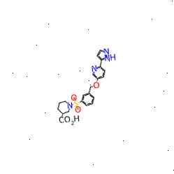 O=C(O)C1CCCN(S(=O)(=O)c2cccc(COc3ccc(-c4ccn[nH]4)nc3)c2)C1